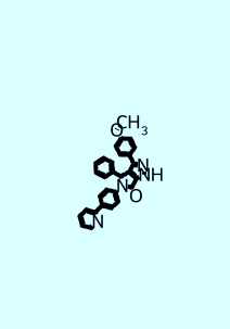 COc1ccc(-c2n[nH]c3c2C(c2ccccc2)N(c2ccc(-c4ccccn4)cc2)C3=O)cc1